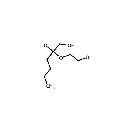 CCCCC(O)(CO)OCCO